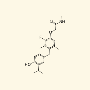 CNC(=O)COc1cc(C)c(Cc2ccc(O)c(C(C)C)c2)c(C)c1F